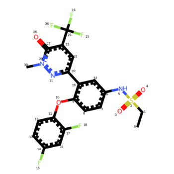 CCS(=O)(=O)Nc1ccc(Oc2ccc(F)cc2F)c(-c2cc(C(F)(F)F)c(=O)n(C)n2)c1